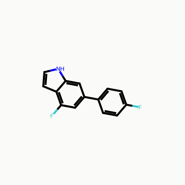 Fc1ccc(-c2cc(F)c3cc[nH]c3c2)cc1